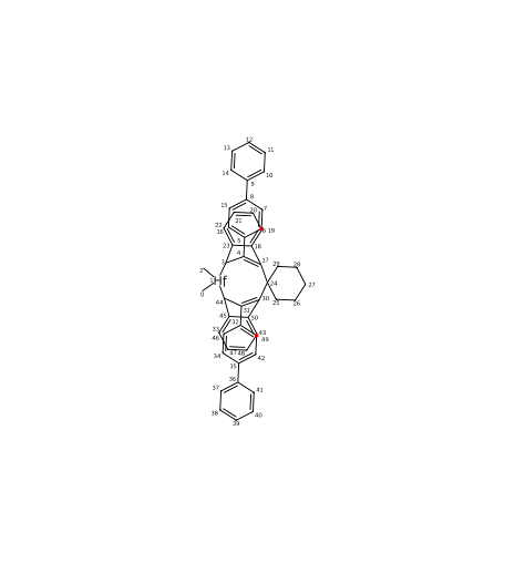 [CH3][Hf]1([CH3])[CH]2C(c3ccc(-c4ccccc4)cc3)=C(c3ccccc32)C2(CCCCC2)C2=C(c3ccc(-c4ccccc4)cc3)[CH]1c1ccccc12